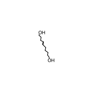 OCCC/C=C/CCCCCO